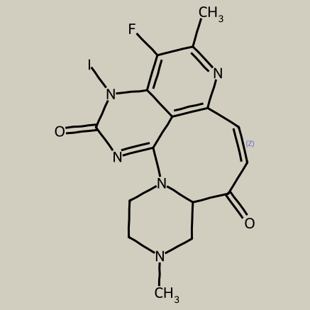 Cc1nc2c3c(nc(=O)n(I)c3c1F)N1CCN(C)CC1C(=O)/C=C\2